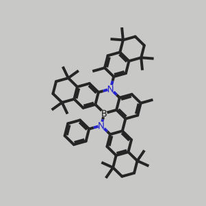 Cc1cc2c3c(c1)N(c1cc4c(cc1C)C(C)(C)CCC4(C)C)c1cc4c(cc1B3N(c1ccccc1)c1cc3c(cc1-2)C(C)(C)CCC3(C)C)C(C)(C)CCC4(C)C